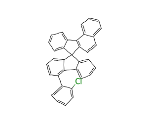 Clc1ccccc1-c1cccc2c1-c1ccccc1C21c2ccccc2-c2c1ccc1ccccc21